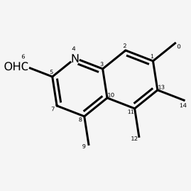 Cc1cc2nc(C=O)cc(C)c2c(C)c1C